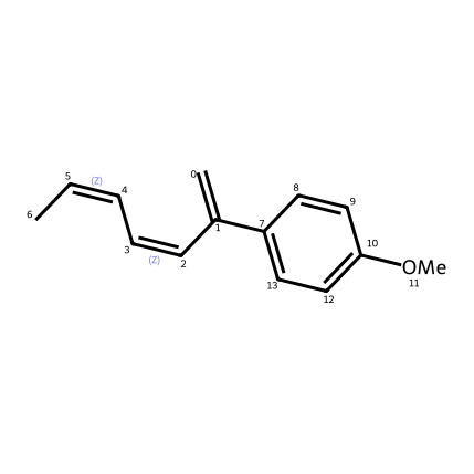 C=C(/C=C\C=C/C)c1ccc(OC)cc1